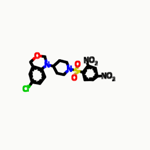 O=[N+]([O-])c1ccc(S(=O)(=O)N2CCC(N3COCc4cc(Cl)ccc43)CC2)c([N+](=O)[O-])c1